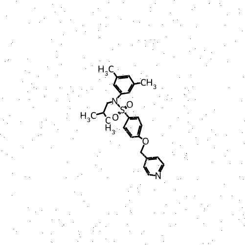 Cc1cc(C)cc(N(CC(C)C)S(=O)(=O)c2ccc(OCc3ccncc3)cc2)c1